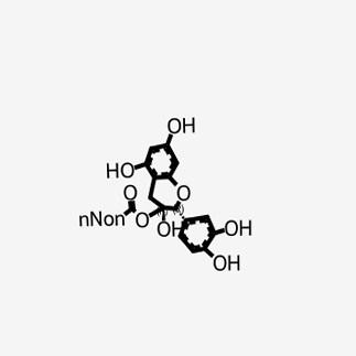 CCCCCCCCCC(=O)O[C@]1(O)Cc2c(O)cc(O)cc2O[C@@H]1c1ccc(O)c(O)c1